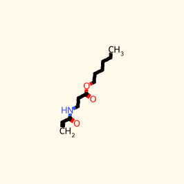 C=CC(=O)NCCC(=O)OCCCCCC